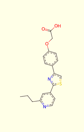 CCCc1cc(-c2nc(-c3ccc(OCC(=O)O)cc3)cs2)ccn1